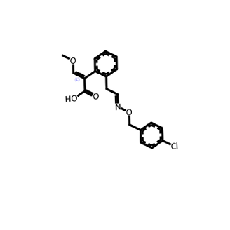 CO/C=C(/C(=O)O)c1ccccc1CC=NOCc1ccc(Cl)cc1